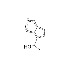 CC(O)c1ccc2csccc1-2